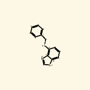 c1ccc(CSc2cccc3scnc23)cc1